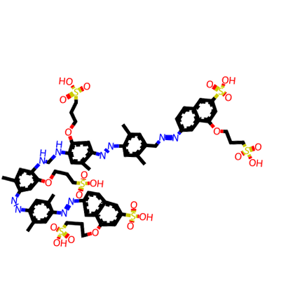 Cc1cc(N=Nc2cc(OCCCS(=O)(=O)O)c(NCNc3cc(C)c(/N=N\c4cc(C)c(N=Nc5ccc6cc(S(=O)(=O)O)cc(OCCCS(=O)(=O)O)c6c5)cc4C)cc3OCCCS(=O)(=O)O)cc2C)c(C)cc1CN=Nc1ccc2cc(S(=O)(=O)O)cc(OCCCS(=O)(=O)O)c2c1